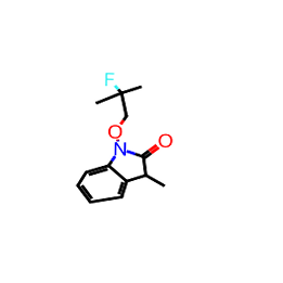 CC1C(=O)N(OCC(C)(C)F)c2ccccc21